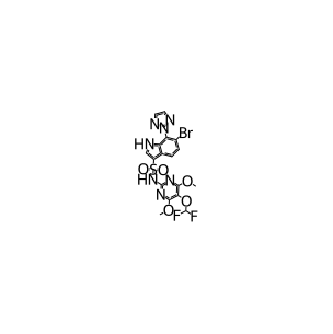 COc1nc(NS(=O)(=O)c2c[nH]c3c(-n4nccn4)c(Br)ccc23)nc(OC)c1OC(F)F